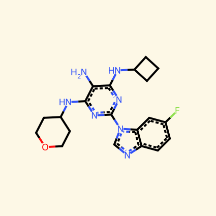 Nc1c(NC2CCC2)nc(-n2cnc3ccc(F)cc32)nc1NC1CCOCC1